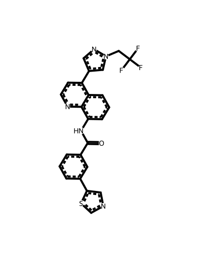 O=C(Nc1cccc2c(-c3cnn(CC(F)(F)F)c3)ccnc12)c1cccc(-c2cncs2)c1